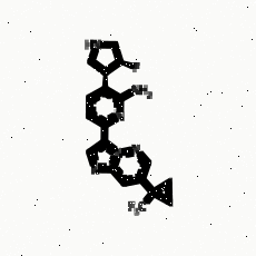 Nc1nc(-c2cnc3cc(C4(C(F)(F)F)CC4)cnn23)ccc1[C@H]1CNC[C@H]1F